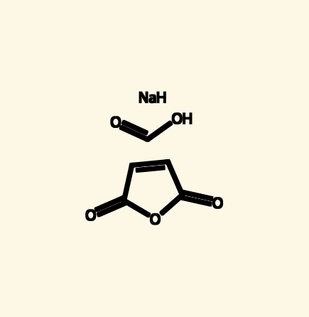 O=C1C=CC(=O)O1.O=CO.[NaH]